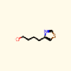 [O]CCCCc1cscn1